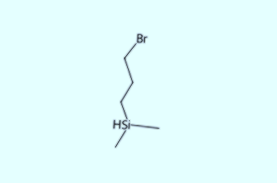 C[SiH](C)CCCBr